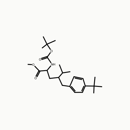 COC(=O)C(CC(Cc1ccc(C(C)(C)C)cc1)C(C)C)NC(=O)OC(C)(C)C